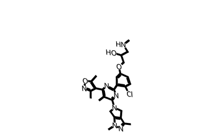 CNCC(O)COc1ccc(Cl)c(-c2nc(-c3c(C)noc3C)c(C)c(N3Cc4c(C)nn(C)c4C3)n2)c1